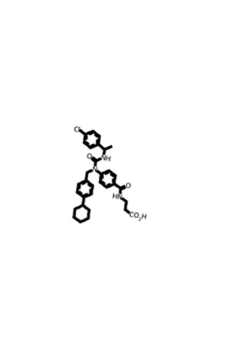 CC(NC(=O)N(Cc1ccc(C2CCCCC2)cc1)c1ccc(C(=O)NCCC(=O)O)cc1)c1ccc(Cl)cc1